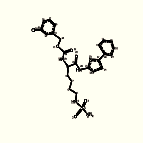 NS(=O)(=O)NCCCCC(NC(=O)OCc1cccc(Cl)c1)C(=O)Nc1nc(-c2ccccc2)cs1